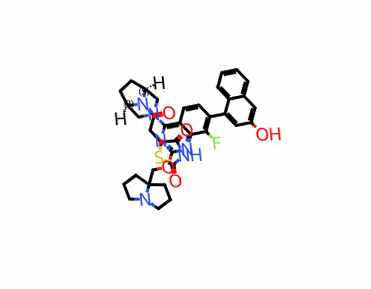 O=C1NC(=O)C(CC(=O)N2[C@@H]3CC[C@H]2CN(c2nc(OCC45CCCN4CCC5)nc4c(F)c(-c5cc(O)cc6ccccc56)ccc24)C3)S1